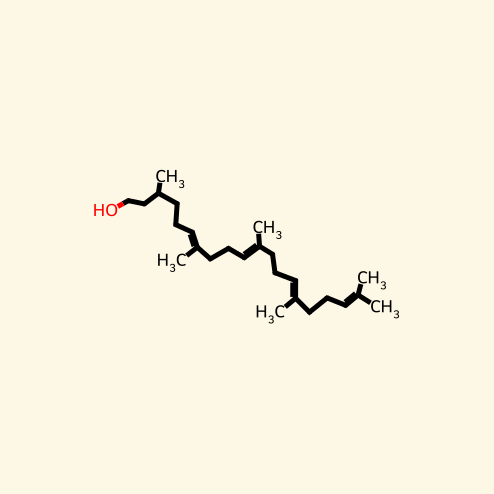 CC(C)=CCCC(C)=CCCC(C)=CCCC(C)=CCCC(C)CCO